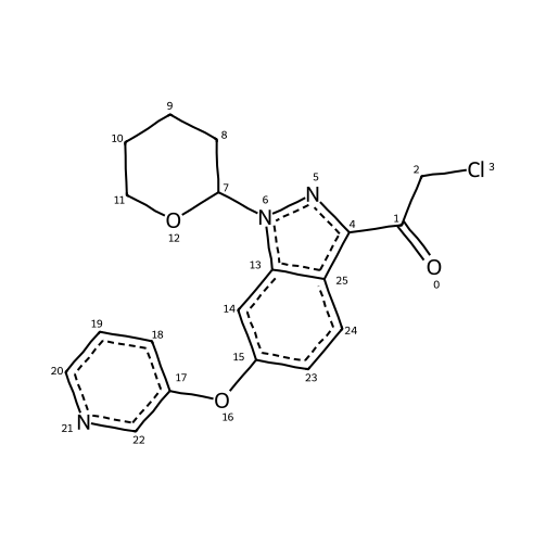 O=C(CCl)c1nn(C2CCCCO2)c2cc(Oc3cccnc3)ccc12